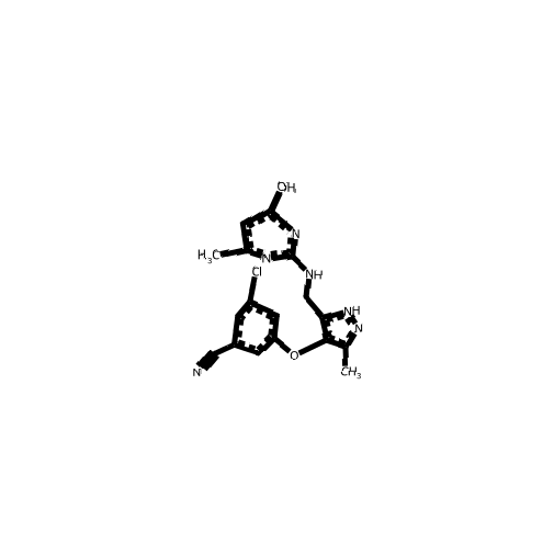 Cc1cc(O)nc(NCc2[nH]nc(C)c2Oc2cc(Cl)cc(C#N)c2)n1